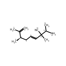 C=C(C)[C@H](C)C/C=C/C(C)(C#N)C(C)N